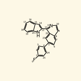 Fc1ccc(-c2ccc3ccnc(-c4cc5ccccc5[nH]4)c3c2)cc1